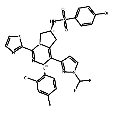 O=S(=O)(N[C@H]1CC2=C(c3ccn(C(F)F)n3)[C@H](c3ccc(F)cc3Cl)N=C(c3nccs3)N2C1)c1ccc(Br)cc1